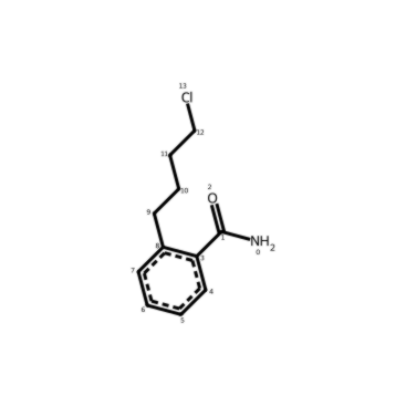 NC(=O)c1ccccc1CCCCCl